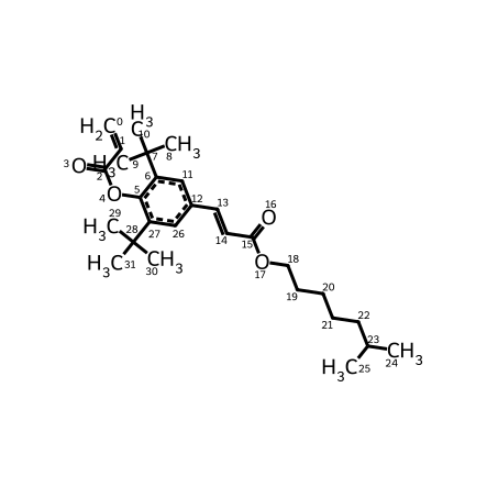 C=CC(=O)Oc1c(C(C)(C)C)cc(/C=C/C(=O)OCCCCCC(C)C)cc1C(C)(C)C